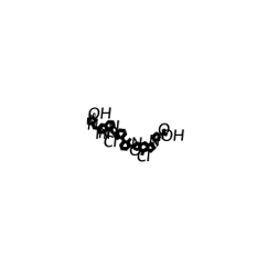 Cc1c(-c2nc3cc4c(c(Cl)c3o2)CC[C@H]4N2CC[C@@H](C(=O)O)C2)cccc1-c1cccc(Nc2nccc3cc(CN4CC[C@@H](O)C4)cnc23)c1Cl